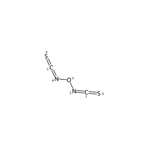 S=C=NON=C=S